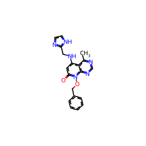 Cc1ncnc2c1c(NCc1ncc[nH]1)cc(=O)n2OCc1ccccc1